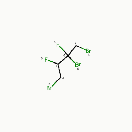 FC(CBr)C(F)(Br)CBr